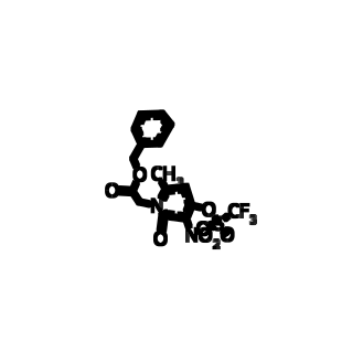 Cc1cc(OS(=O)(=O)C(F)(F)F)c([N+](=O)[O-])c(=O)n1CC(=O)OCc1ccccc1